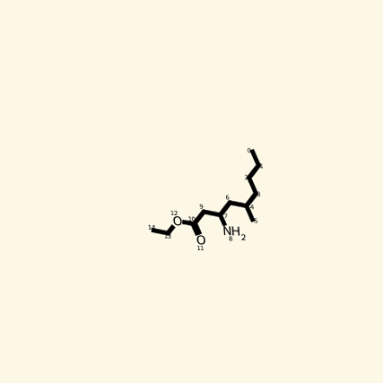 CCCCC(C)CC(N)CC(=O)OCC